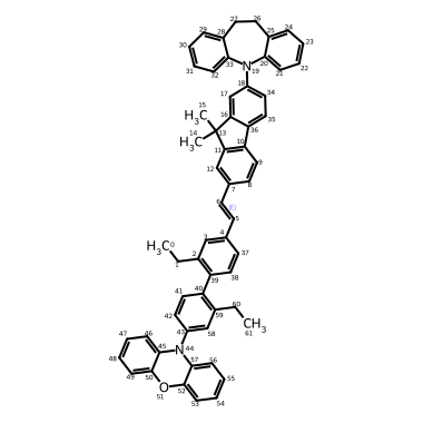 CCc1cc(/C=C/c2ccc3c(c2)C(C)(C)c2cc(N4c5ccccc5CCc5ccccc54)ccc2-3)ccc1-c1ccc(N2c3ccccc3Oc3ccccc32)cc1CC